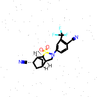 C[C@@]12[C@@H](CN(c3ccc(C#N)c(C(F)(F)F)c3)S1(=O)=O)[C@H]1C[C@H](C#N)[C@@H]2C1